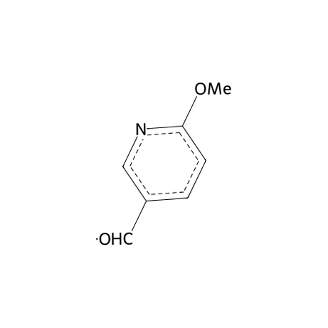 COc1ccc([C]=O)cn1